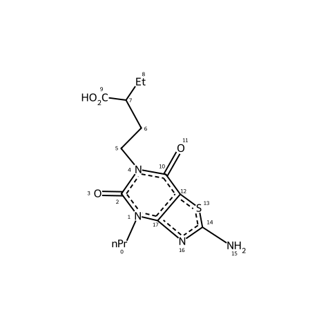 CCCn1c(=O)n(CCC(CC)C(=O)O)c(=O)c2sc(N)nc21